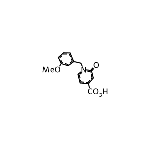 COc1cccc(Cn2ccc(C(=O)O)cc2=O)c1